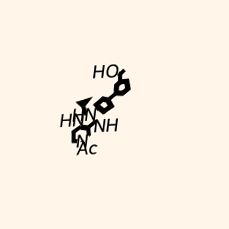 CC(=O)N1CCC(NCC2CC2)=C(C(=N)Nc2ccc(-c3cccc(C(C)O)c3)cc2)C1